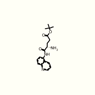 CC(C)(C)OC(=O)CC[C@H](N)C(=O)Nc1cccc2ncccc12